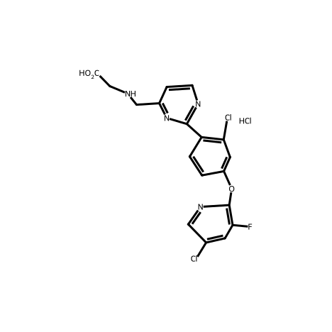 Cl.O=C(O)CNCc1ccnc(-c2ccc(Oc3ncc(Cl)cc3F)cc2Cl)n1